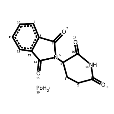 O=C1CCC(N2C(=O)c3ccccc3C2=O)C(=O)N1.[PbH2]